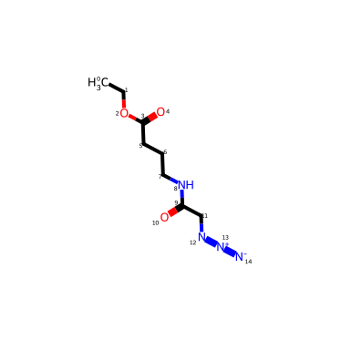 CCOC(=O)CCCNC(=O)CN=[N+]=[N-]